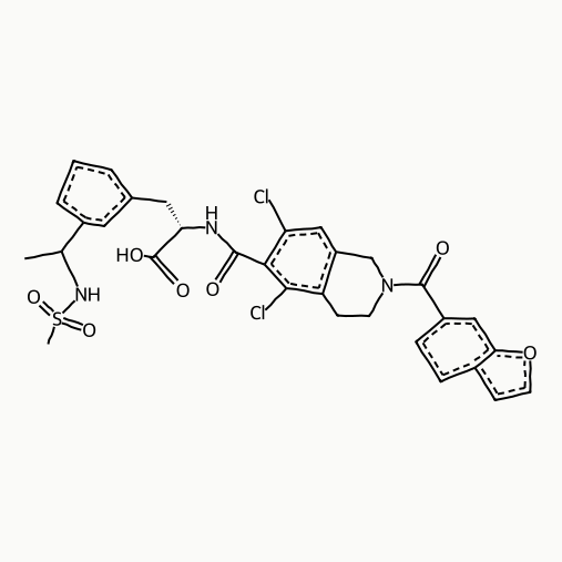 CC(NS(C)(=O)=O)c1cccc(C[C@H](NC(=O)c2c(Cl)cc3c(c2Cl)CCN(C(=O)c2ccc4ccoc4c2)C3)C(=O)O)c1